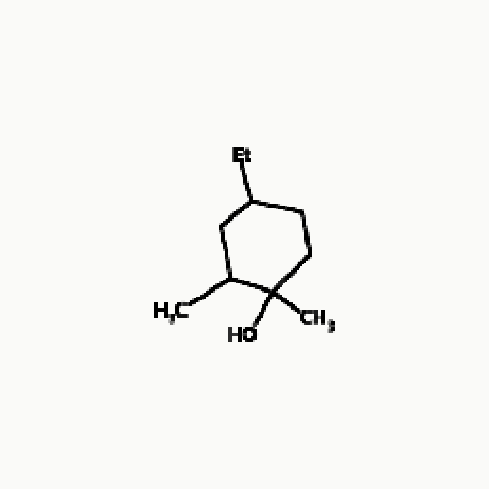 CCC1CCC(C)(O)C(C)C1